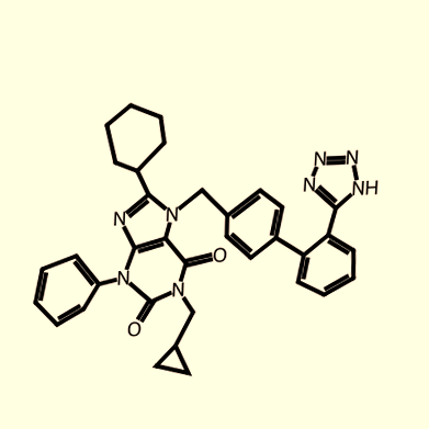 O=c1c2c(nc(C3CCCCC3)n2Cc2ccc(-c3ccccc3-c3nnn[nH]3)cc2)n(-c2ccccc2)c(=O)n1CC1CC1